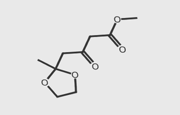 COC(=O)CC(=O)CC1(C)OCCO1